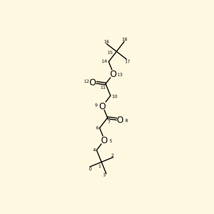 CC(C)(C)COCC(=O)OCC(=O)OCC(C)(C)C